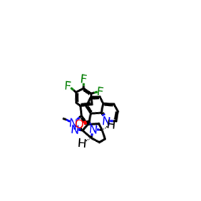 Cn1nc2c(c1-c1cc(F)c(F)c(F)c1)C[C@H]1CC[C@@H]2N1C(=O)c1cccc2cccnc12